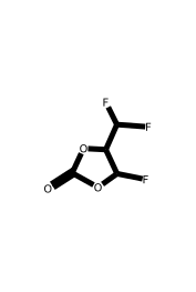 O=C1OC(F)C(C(F)F)O1